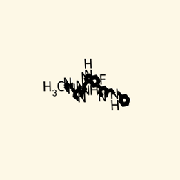 Cc1cn(-c2ccnc3[nH]c(-c4n[nH]c5cc(F)c(-c6cncc(CNCc7ccccc7)c6)cc45)nc23)cn1